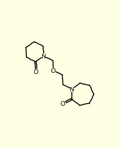 O=C1CCCCCN1CCOCN1CCCCC1=O